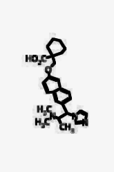 CC(C(c1ccc2cc(OCC3(C(=O)O)CCCCC3)ccc2c1)n1ccnc1)N(C)C